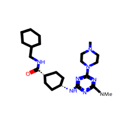 CNc1nc(N[C@H]2CC[C@@H](C(=O)NCC3CCCCC3)CC2)nc(N2CCN(C)CC2)n1